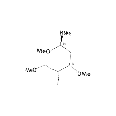 CN[C@@H](C[C@H](OC)C(C)COC)OC